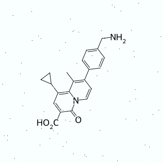 Cc1c(-c2ccc(CN)cc2)ccn2c(=O)c(C(=O)O)cc(C3CC3)c12